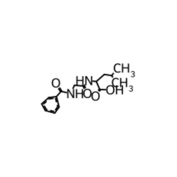 CC(C)CC(NC(=O)CNC(=O)c1ccccc1)C(=O)O